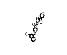 CC1(CC(=O)NCC(=O)N2CCN(Cc3cc(Cl)cc4cccnc34)CC2)CCOCC1